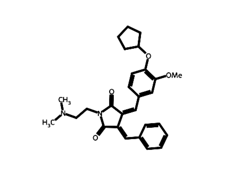 COc1cc(/C=C2\C(=O)N(CCN(C)C)C(=O)\C2=C\c2ccccc2)ccc1OC1CCCC1